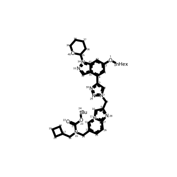 CCCCCCOc1cc(-c2cn(Cc3cn4cc(CN(CC5CCC5)C(=O)OC(C)(C)C)ccc4n3)nn2)c2cnn(C3CCCCO3)c2c1